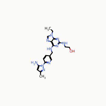 CCn1cnc2c(NCc3ccc(-n4nc(C)cc4N)nc3)nc(NCCO)nc21